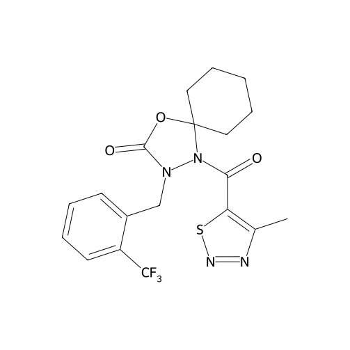 Cc1nnsc1C(=O)N1N(Cc2ccccc2C(F)(F)F)C(=O)OC12CCCCC2